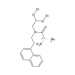 CCOC(CN(CCc1cccc2ccccc12)C(=O)[C@@H](N)[C@@H](C)CC)OCC